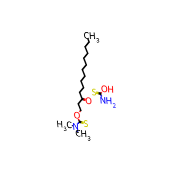 CCCCCCCCCCCC(=O)CCOC(=S)N(C)C.NC(O)=S